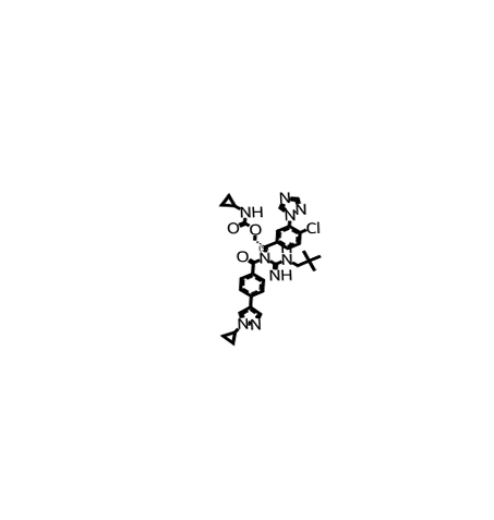 CC(C)(C)CNC(=N)N(C(=O)c1ccc(-c2cnn(C3CC3)c2)cc1)[C@H](COC(=O)NC1CC1)c1ccc(Cl)c(-n2cncn2)c1